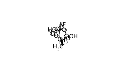 CC[C@@H]1CN(Cc2cc(C(CCc3cn(CC)nn3)CC(=O)O)ccc2C(F)(F)F)S(O)(O)c2cnccc2O1